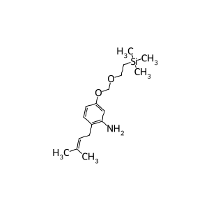 CC(C)=CCc1ccc(OCOCC[Si](C)(C)C)cc1N